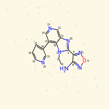 CCn1c(-c2nonc2N)nc2cncc(-c3cccnc3)c21